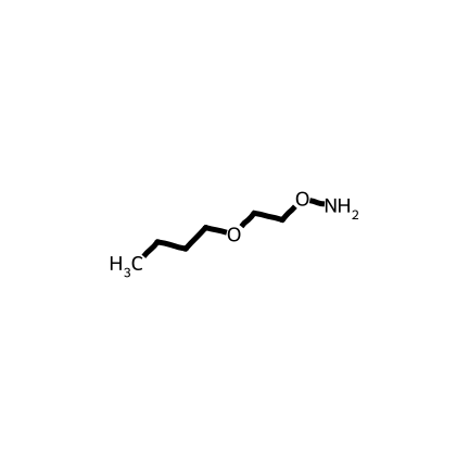 CCCCOCCON